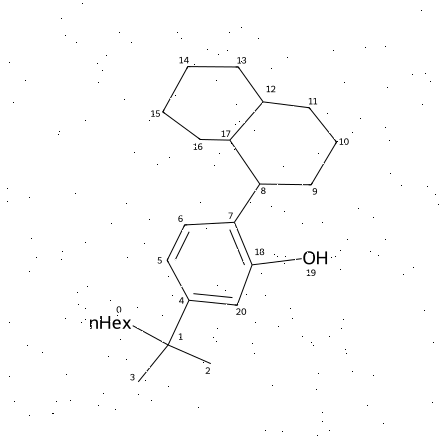 CCCCCCC(C)(C)c1ccc(C2CCCC3CCCCC32)c(O)c1